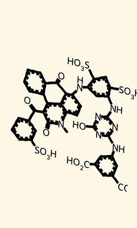 Cn1c(=O)c(C(=O)c2cccc(S(=O)(=O)O)c2)c2c3c(c(Nc4cc(Nc5nc(O)nc(Nc6cc(C(=O)O)cc(C(=O)O)c6)n5)c(S(=O)(=O)O)cc4S(=O)(=O)O)ccc31)C(=O)c1ccccc1-2